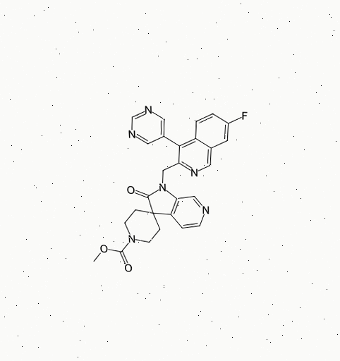 COC(=O)N1CCC2(CC1)C(=O)N(Cc1ncc3cc(F)ccc3c1-c1cncnc1)c1cnccc12